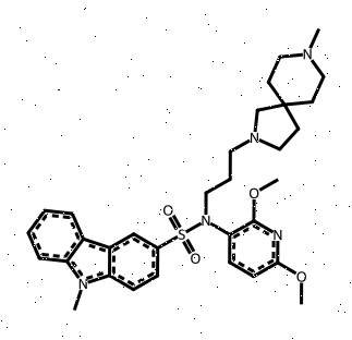 COc1ccc(N(CCCN2CCC3(CCN(C)CC3)C2)S(=O)(=O)c2ccc3c(c2)c2ccccc2n3C)c(OC)n1